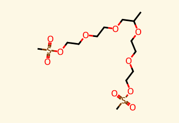 CC(COCCOCCOS(C)(=O)=O)OCCOCCOS(C)(=O)=O